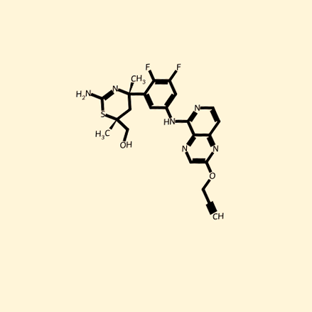 C#CCOc1cnc2c(Nc3cc(F)c(F)c([C@]4(C)C[C@](C)(CO)SC(N)=N4)c3)nccc2n1